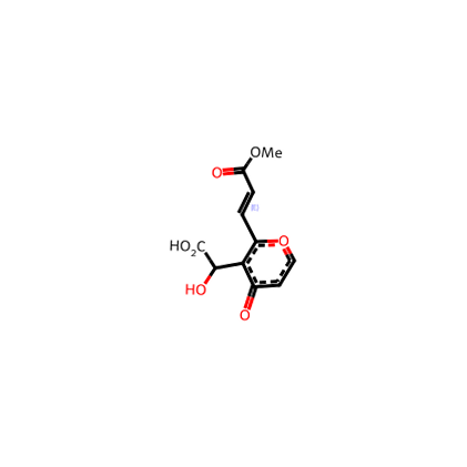 COC(=O)/C=C/c1occc(=O)c1C(O)C(=O)O